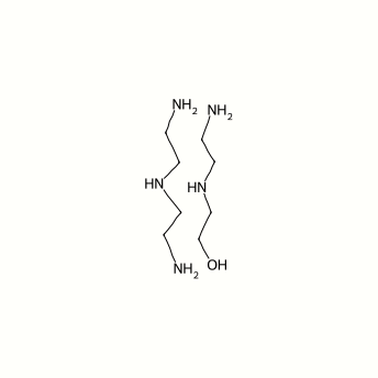 NCCNCCN.NCCNCCO